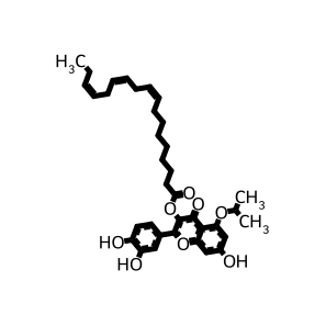 CC/C=C\C/C=C\C/C=C\CCCCCCCC(=O)Oc1c(-c2ccc(O)c(O)c2)oc2cc(O)cc(OC(C)C)c2c1=O